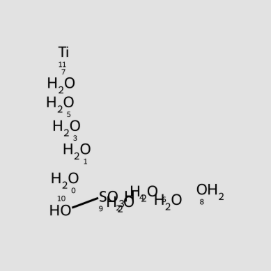 O.O.O.O.O.O.O.O.O.O=S(=O)(O)O.[Ti]